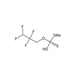 CSP(O)(=S)OCC(F)(F)C(F)F